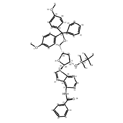 COc1ccc(C(OC[C@@H]2[CH][C@H](O[Si](C)(C)C(C)(C)C)[C@@H](n3cnc4c(NC(=O)c5ccccc5)ncnc43)O2)(c2ccccc2)c2ccc(OC)cc2)cc1